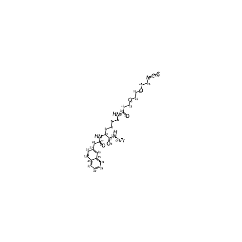 CCCNC(=O)C(CCCCNC(=O)CCOCCOCCN=C=S)NC(=O)Cc1ccc2ccccc2c1